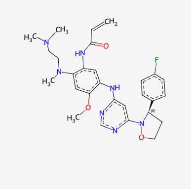 C=CC(=O)Nc1cc(Nc2cc(N3OCC[C@@H]3c3ccc(F)cc3)ncn2)c(OC)cc1N(C)CCN(C)C